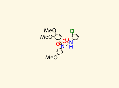 COc1ccc(N(CC(=O)Nc2cccc(Cl)c2)S(=O)(=O)c2ccc(OC)c(OC)c2)cc1